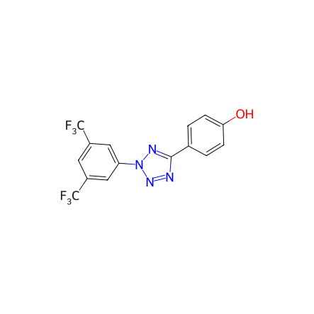 Oc1ccc(-c2nnn(-c3cc(C(F)(F)F)cc(C(F)(F)F)c3)n2)cc1